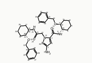 Nc1cc(C(=O)N[C@H]2CCCC[C@@H]2OCc2ccccc2)n(CC(=O)N[C@@H]2CCCC[C@H]2OCc2ccccc2)n1